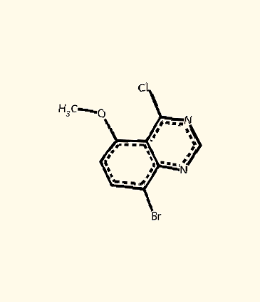 COc1ccc(Br)c2ncnc(Cl)c12